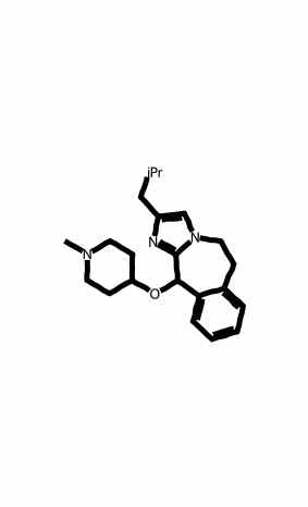 CC(C)Cc1cn2c(n1)C(OC1CCN(C)CC1)c1ccccc1CC2